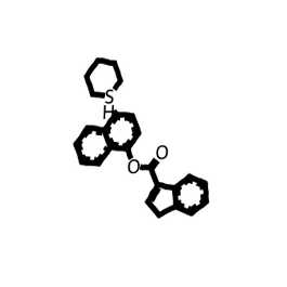 O=C(Oc1ccc([SH]2CCCCC2)c2ccccc12)C1=CCc2ccccc21